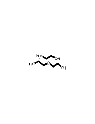 NCCO.OCCOCCO